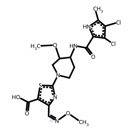 CO/N=C\c1nc(N2CCC(NC(=O)c3[nH]c(C)c(Cl)c3Cl)C(OC)C2)sc1C(=O)O